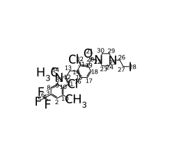 Cc1cc(C(F)(F)F)cc2c1cc(Cc1c(Cl)ccc(C(=O)N3CCN(CCI)CC3)c1Cl)n2C